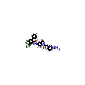 Cc1cc(-c2ccccc2)c(C(=O)Nc2ccc3c(c2)CCN3C(=O)Cc2cccc(N)n2)cc1C(F)(F)F